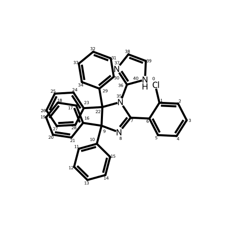 Clc1ccccc1C1=NC(c2ccccc2)(c2ccccc2)C(c2ccccc2)(c2ccccc2)N1c1ncc[nH]1